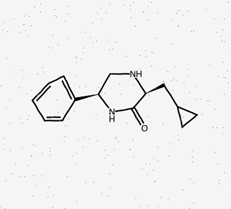 O=C1N[C@@H](c2ccccc2)CN[C@H]1CC1CC1